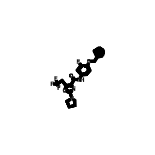 O=C(Nc1ccc(OCC2CC3C4C2C34)c(F)c1)c1nc(N2CCCC2)oc1CC(F)(F)F